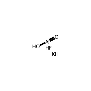 F.[KH].[O]=[Al][OH]